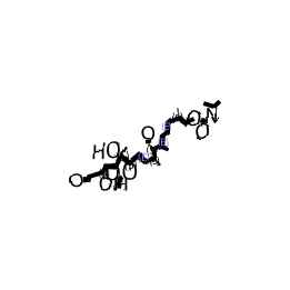 CC(=O)O[C@@H](/C=C/[C@H](C)[C@H](C=O)/C(C)=C/C=C/[C@H](C)COC(=O)N(C)C(C)C)[C@@](C)(O)CC[C@H](O)CC=O